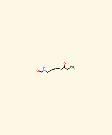 CCC(=O)CCCCCNC=O